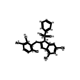 CC(=O)c1ccc(Cl)c(Cc2cc3c(C#N)nc(C#N)cc3n2S(=O)(=O)c2ccccc2)c1Cl